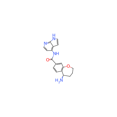 N[C@@H]1CCCOc2cc(C(=O)Nc3ccnc4[nH]ccc34)ccc21